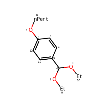 CCCCCOc1ccc(C(OCC)OCC)cc1